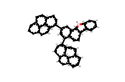 c1cc2ccc3ccc(-c4cc(-c5ccc6ccc7cccc8ccc5c6c78)c5ccc6c7ccccc7oc6c5c4)c4ccc(c1)c2c34